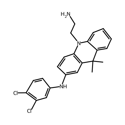 CC1(C)c2ccccc2N(CCN)c2ccc(Nc3ccc(Cl)c(Cl)c3)cc21